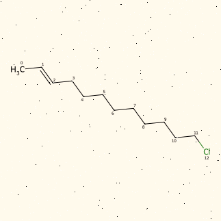 CC=CCCCCCCCCCCl